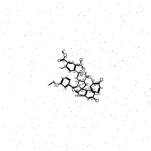 CCOc1cccc(CN2[C@@H](CC(O)c3cc(C)c(C(=O)OC)cc3[N+](=O)[O-])[C@@H]([N+](=O)[O-])[C@H](c3cccc(Cl)c3F)[C@]23C(=O)Nc2cc(Cl)ccc23)c1